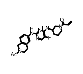 C=CC(=O)N1CCCC(Nc2nc(Nc3ccc4c(c3)CCN(C(C)=O)C4)ncc2F)C1